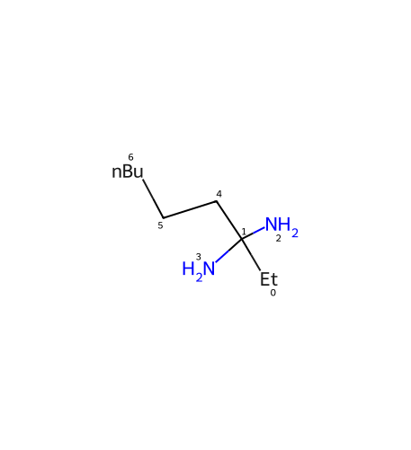 [CH2]CC(N)(N)CCCCCC